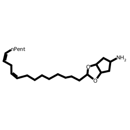 CCCCC/C=C\C/C=C\CCCCCCCCC1OC2CC(N)CC2O1